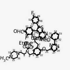 CCOC(=O)[C@@H](Cc1cc(CN(CCN2CCN(C)CC2)C(=O)OC(C)(C)C)ccc1OCc1ccnc(-c2ccccc2OC)n1)Oc1ncnc2sc(-c3ccc(F)cc3)c(-c3ccc(C=O)c(F)c3OC)c12